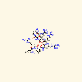 CC(C)C[C@H](N)C(=O)N[C@@H](CCCNC(=N)N)C(=O)N1CCC[C@H]1C(=O)N[C@@H](CCCNC(=N)N)C(=O)N[C@@H](CCCNC(=N)N)C(=O)N[C@@H](CCCCN)C(=O)N[C@@H](CCCNC(=N)N)C(=O)N1CCC[C@H]1C(=O)O